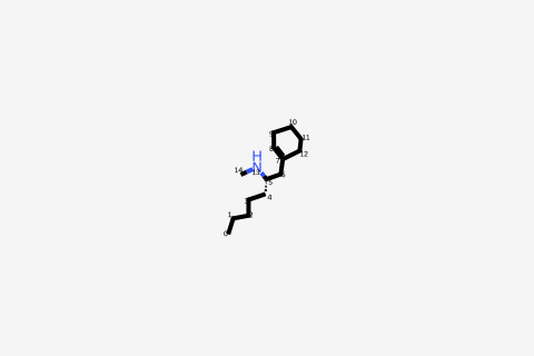 CCCCC[C@@H](CC1=CCCCC1)NC